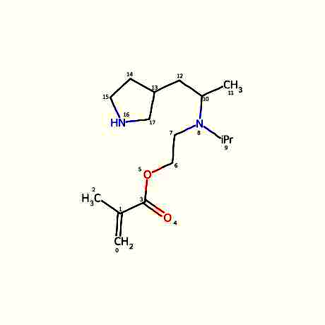 C=C(C)C(=O)OCCN(C(C)C)C(C)CC1CCNC1